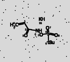 C=CC(=O)NOS(=O)(=O)C(C)(C)C.[KH]